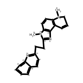 CN1CC=Cc2c1ccc1c2nc(CCc2ccc3ccccc3n2)n1C